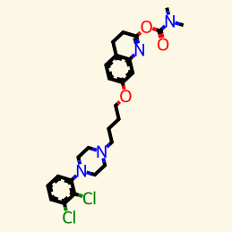 CN(C)C(=O)OC1=Nc2cc(OCCCCN3CCN(c4cccc(Cl)c4Cl)CC3)ccc2CC1